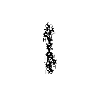 COC(=O)N[C@@H](C(=O)N1CCCC1c1ncc(-c2cc3sc(-c4ccc5[nH]c(C6CCCN6C(=O)[C@H](NC(=O)CO)C(C)C)nc5c4)cc3s2)[nH]1)C(C)C